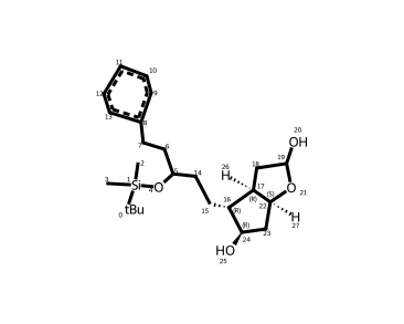 CC(C)(C)[Si](C)(C)OC(CCc1ccccc1)CC[C@@H]1[C@H]2CC(O)O[C@H]2C[C@H]1O